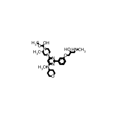 CNCC(O)COc1cccc(-c2nc(N3CCN(C(O)OC)[C@@H](C)C3)cc(N(C)C3CCOCC3)n2)c1